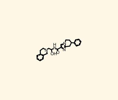 O=C(NC(O)CN1CCc2ccccc2C1)c1cn2c(n1)CC(c1ccccc1)CC2